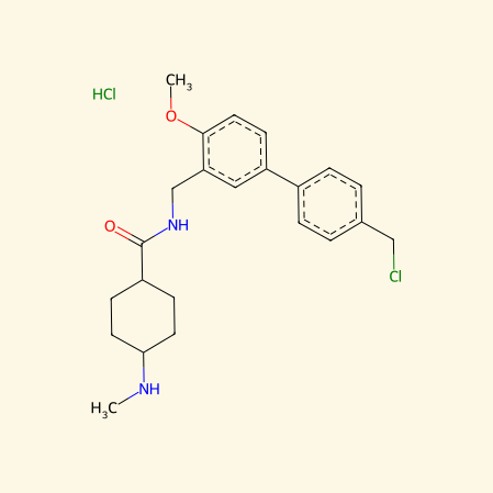 CNC1CCC(C(=O)NCc2cc(-c3ccc(CCl)cc3)ccc2OC)CC1.Cl